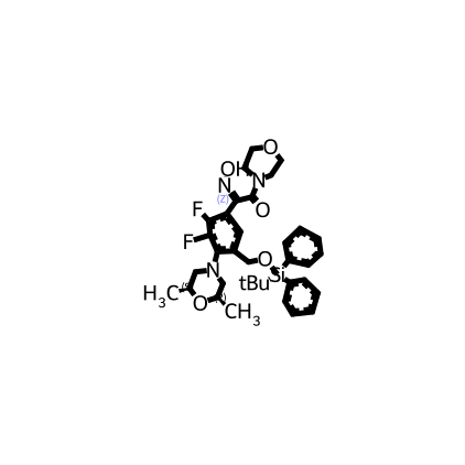 C[C@@H]1CN(c2c(CO[Si](c3ccccc3)(c3ccccc3)C(C)(C)C)cc(/C(=N/O)C(=O)N3CCOCC3)c(F)c2F)C[C@H](C)O1